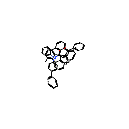 Cc1cccc2c1-c1cccc(C)c1C21c2c(-c3ccccc3N(c3ccc(-c4ccccc4)cc3)c3ccc(-c4ccccc4)cc3)cccc2-c2c(C)ccc(C)c21